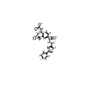 O=C([O-])CN(C=S(=O)=O)c1ccc(OCCc2coc(-c3ccccc3)n2)cc1.[Na+]